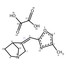 Cc1noc(/C=C2\CN3CCC2C3)n1.O=C(O)C(=O)O